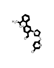 CC(C)c1ccccc1-c1ccc(C=O)c(N2CC[C@H](Sc3ccc(Cl)cn3)C2)c1